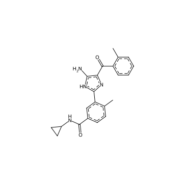 Cc1ccccc1C(=O)c1nc(-c2cc(C(=O)NC3CC3)ccc2C)[nH]c1N